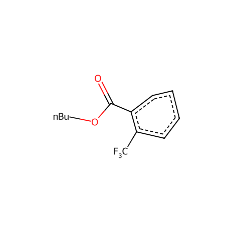 CCCCOC(=O)c1ccccc1C(F)(F)F